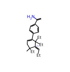 C=C(N)c1ccc(C2=CCC(C)(CC)/C(=C\CC)C2(CC)CC)cc1